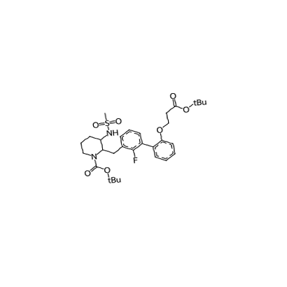 CC(C)(C)OC(=O)CCOc1ccccc1-c1cccc(CC2C(NS(C)(=O)=O)CCCN2C(=O)OC(C)(C)C)c1F